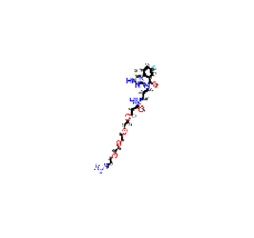 NCCOCCOCCOCCOCCC(=O)NCCCn1c(=O)c2cc(F)ccc2n2c(=S)[nH]nc12